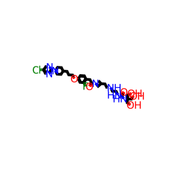 O=C(NCCNCCC1CN(C(=O)Cc2ccc(OCCCC3CCN(c4ncc(Cl)cn4)CC3)cc2F)C1)NC(CO)(CO)CO